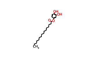 CCCCCCCCCCCCCCCC(=O)Oc1ccc(O)c(O)c1